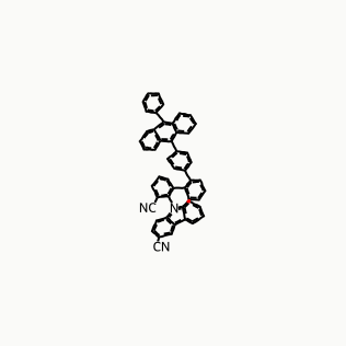 N#Cc1ccc2c(c1)c1ccccc1n2-c1c(C#N)cccc1-c1ccccc1-c1ccc(-c2c3ccccc3c(-c3ccccc3)c3ccccc23)cc1